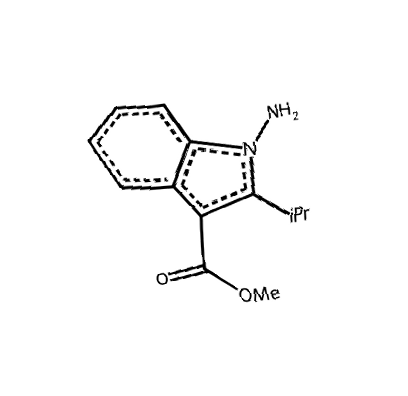 COC(=O)c1c(C(C)C)n(N)c2ccccc12